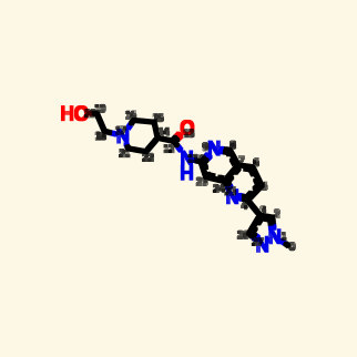 Cn1cc(-c2ccc3cnc(NC(=O)C4CCN(CCO)CC4)cc3n2)cn1